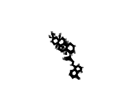 Cc1cccc2c(OCC(=O)[C@H]3CCC[C@H]4[C@@H]5CC[C@@H]6C[C@](C)(O)CC[C@@H]6[C@H]5CC[C@]34C)ncnc12